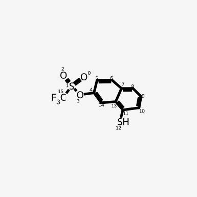 O=S(=O)(Oc1ccc2cccc(S)c2c1)C(F)(F)F